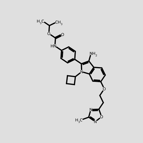 Cc1noc(CCOc2ccc3c(N)c(-c4ccc(NC(=O)OC(C)C)cc4)n(C4CCC4)c3c2)n1